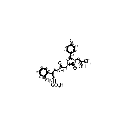 O=C(O)NCC(CNC(=O)Cn1nc(-c2ccc(Cl)cc2)n(C[C@H](O)C(F)(F)F)c1=O)c1ccccc1Cl